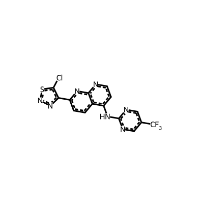 FC(F)(F)c1cnc(Nc2ccnc3nc(-c4nnsc4Cl)ccc23)nc1